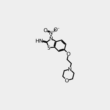 N=c1sc2cc(OCCN3CCOCC3)ccc2n1[N+](=O)[O-]